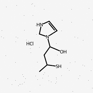 CC(S)CC(O)N1C=CNC1.Cl